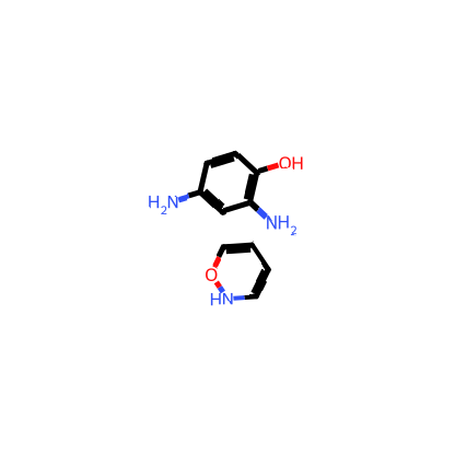 C1=CNOC=C1.Nc1ccc(O)c(N)c1